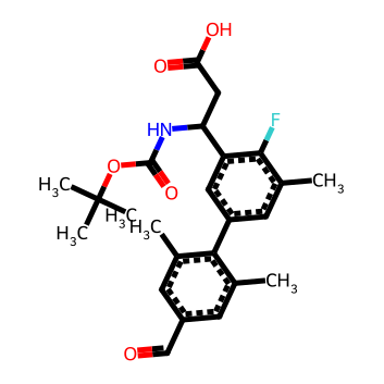 Cc1cc(-c2c(C)cc(C=O)cc2C)cc(C(CC(=O)O)NC(=O)OC(C)(C)C)c1F